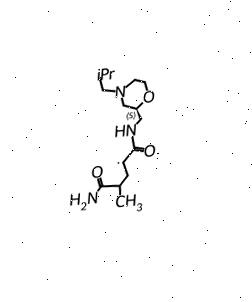 CC(C)CN1CCO[C@@H](CNC(=O)[CH]CC(C)C(N)=O)C1